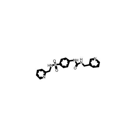 O=C(NCc1cccnc1)Nc1ccc(S(=O)(=O)NCc2ccccn2)cc1